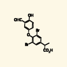 CC(C(=O)O)c1cc(Br)c(Oc2ccc(O)c(C=O)c2)c(Br)c1